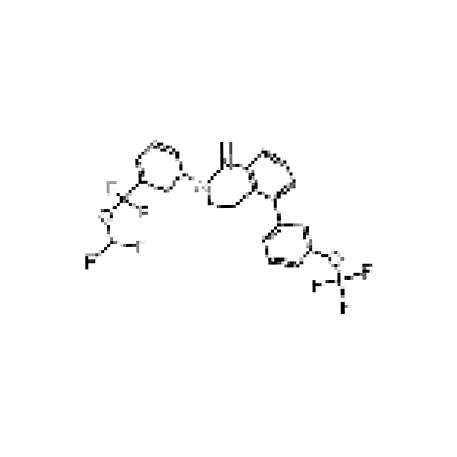 FC(F)OC(F)(F)C1=CC=CC([C@H]2CCc3c(cccc3-c3cccc(OC(F)(F)F)c3)N2)C1